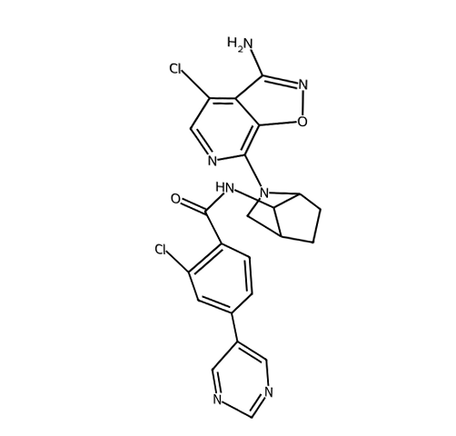 Nc1noc2c(N3CC4CCC3C4NC(=O)c3ccc(-c4cncnc4)cc3Cl)ncc(Cl)c12